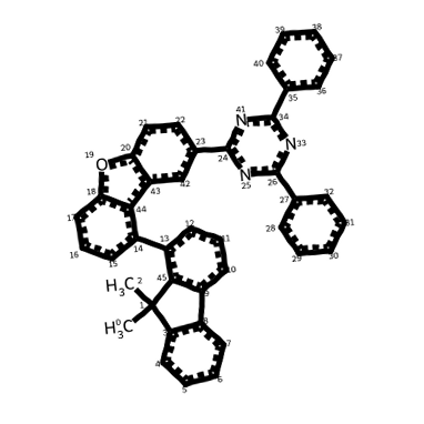 CC1(C)c2ccccc2-c2cccc(-c3cccc4oc5ccc(-c6nc(-c7ccccc7)nc(-c7ccccc7)n6)cc5c34)c21